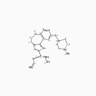 CC(C)N/C(=N\C=N)c1cn2c(n1)-c1cc(SN3CCN(C(C)(C)C)CC3)ccc1OCC2